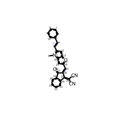 Cn1c(/C=C/c2ccccc2)cc2oc(/C=C3\C(=O)c4ccccc4C3=C(C#N)C#N)cc21